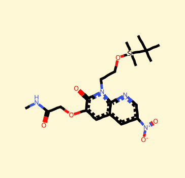 CNC(=O)COc1cc2cc([N+](=O)[O-])cnc2n(CCO[Si](C)(C)C(C)(C)C)c1=O